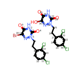 O=c1[nH]c(=O)n(CCc2ccc(Cl)cc2Cl)nc1Br.O=c1[nH]c(=O)n(CCc2ccc(Cl)cc2Cl)nc1O